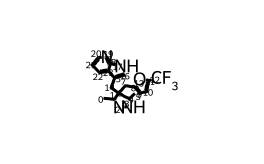 CC1=NNC(C)C1(Cc1ccc(C(F)(F)F)o1)Cc1c[nH]c2ncccc12